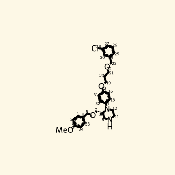 COc1ccc(COC[C@H]2CNCCN2c2ccc(OCCCOCc3cccc(Cl)c3)cc2)cc1